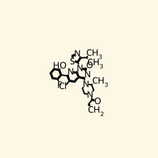 C=CC(=O)N1CCN(c2nc(=O)n(-c3scnc3C(C)C)c3nc(-c4c(O)cccc4F)c(Cl)cc23)[C@@H](C)C1